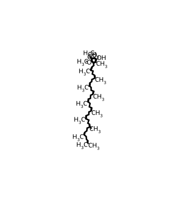 COc1c(O)c(C)c(CC=C(C)CCC=C(C)CCC=C(C)CCC=C(C)CCC=C(C)CCC=C(C)CCC=C(C)CCC=C(C)CCC=C(C)CCC=C(C)C)c(OC)c1OC